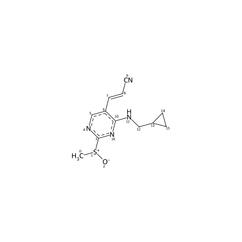 C[S+]([O-])c1ncc(/C=C/C#N)c(NCC2CC2)n1